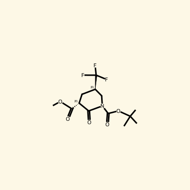 COC(=O)[C@@H]1C[C@@H](C(F)(F)F)CN(C(=O)OC(C)(C)C)C1=O